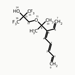 C=C/C=C/C=C(\C=C)C(C)(C)OCC(O)(C(F)(F)F)C(F)(F)F